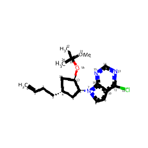 C=CCC[C@H]1C[C@@H](n2ccc3c(Cl)ncnc32)[C@H](OC(C)(C)OC)C1